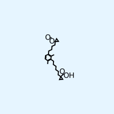 Cc1ccc(CCCCC2(OC=O)CC2)c(C)c1CCCCCCC1(C(=O)O)CC1